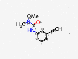 C#Cc1cccc(NC(=O)N(C)OC)c1